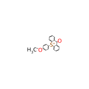 CCOc1ccc(-[s+]2c3ccccc3c(=O)c3ccccc32)cc1